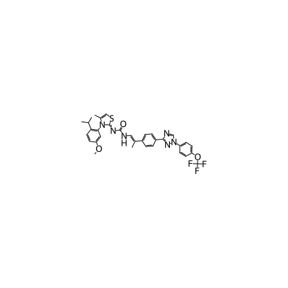 COc1ccc(C(C)C)c(-n2c(C)cs/c2=N\C(=O)N/C=C(\C)c2ccc(-c3ncn(-c4ccc(OC(F)(F)F)cc4)n3)cc2)c1